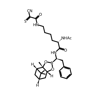 CC(=O)N[C@@H](CCCCNC(=O)C(=S)C#N)C(=O)N[C@@H](Cc1ccccc1)B1O[C@@H]2C[C@@H]3C[C@@H](C3(C)C)[C@]2(C)O1